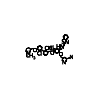 Cc1c(COc2cc(OCc3cncc(C#N)c3)c(CNCc3nc4ccccc4s3)cc2Cl)cccc1-c1cccc(OCC2CCCN(C)C2)c1Cl